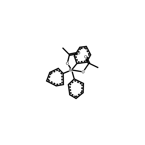 CC(=O)[O][Bi]([O]C(C)=O)([c]1ccccc1)([c]1ccccc1)[c]1ccccc1